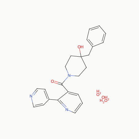 O.O.O.O=C(c1cccnc1-c1ccncc1)N1CCC(O)(Cc2ccccc2)CC1